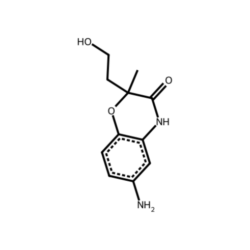 CC1(CCO)Oc2ccc(N)cc2NC1=O